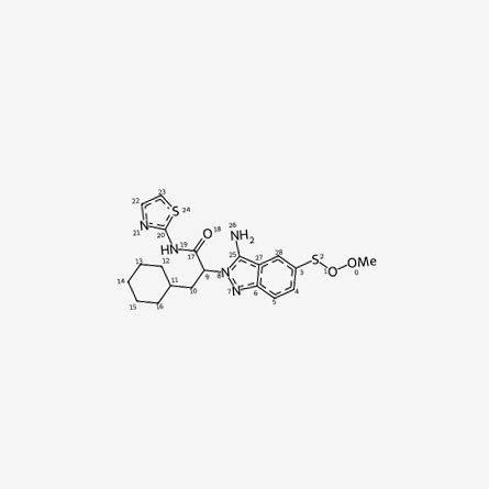 COOSc1ccc2nn(C(CC3CCCCC3)C(=O)Nc3nccs3)c(N)c2c1